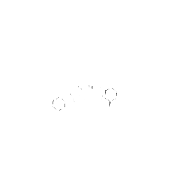 CCCCc1cc(C(=O)O)cc(=O)n1CC1CCN(C(=O)O)C(S(=O)(=O)c2ccccc2)C1Cl